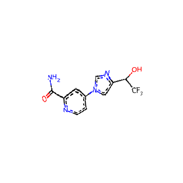 NC(=O)c1cc(-n2cnc(C(O)C(F)(F)F)c2)ccn1